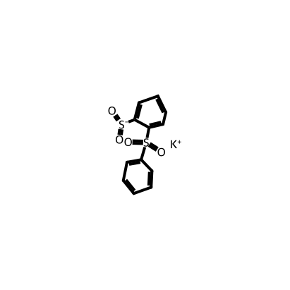 O=[S-](=O)c1ccccc1S(=O)(=O)c1ccccc1.[K+]